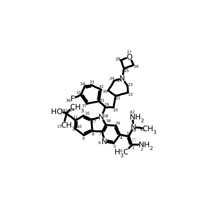 C/C(N)=C(\c1cnc2c3ccc(C(C)(C)O)cc3n(C(CC3CCN(C4COC4)CC3)c3cccc(F)c3)c2c1)N(C)N